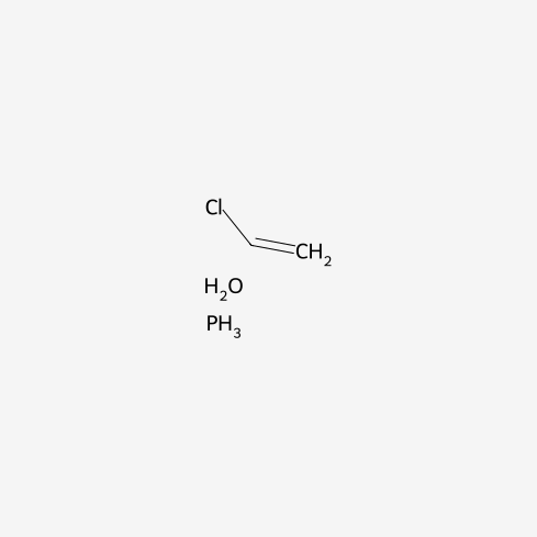 C=CCl.O.P